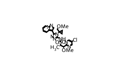 COCC1(n2c(NS(=O)(=O)[C@@H](C)[C@H](OC)c3ncc(Cl)cn3)nnc2-c2cnn3ccccc23)CC1